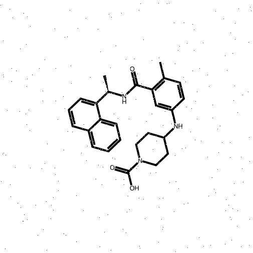 Cc1ccc(NC2CCN(C(=O)O)CC2)cc1C(=O)N[C@H](C)c1cccc2ccccc12